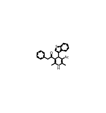 CC(=O)C1=C(C)NC(C)=C(C(=O)Cc2ccccc2)C1c1csc2ccccc12